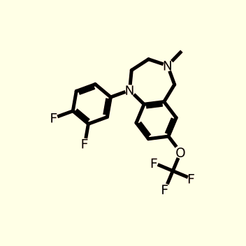 CN1CCN(c2ccc(F)c(F)c2)c2ccc(OC(F)(F)F)cc2C1